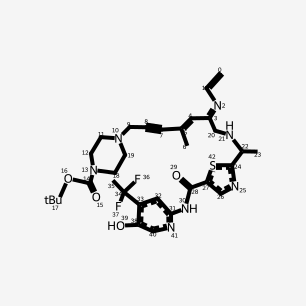 C=C/N=C(\C=C(/C)C#CCN1CCN(C(=O)OC(C)(C)C)CC1)CNC(C)c1ncc(C(=O)Nc2cc(C(C)(F)F)c(O)cn2)s1